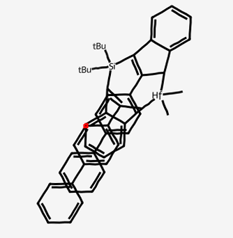 CC(C)(C)[Si]1(C(C)(C)C)C2=C(c3ccc(-c4ccccc4)cc3)[CH](c3ccccc32)[Hf]([CH3])([CH3])[CH]2C(c3ccc(-c4ccccc4)cc3)=C1c1ccccc12